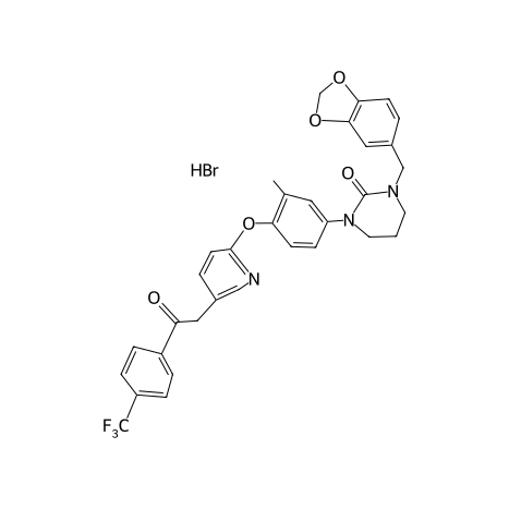 Br.Cc1cc(N2CCCN(Cc3ccc4c(c3)OCO4)C2=O)ccc1Oc1ccc(CC(=O)c2ccc(C(F)(F)F)cc2)cn1